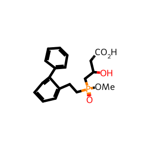 COP(=O)(CCc1ccccc1-c1ccccc1)CC(O)CC(=O)O